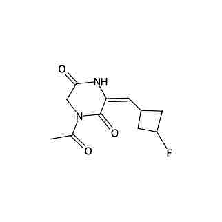 CC(=O)N1CC(=O)NC(=CC2CC(F)C2)C1=O